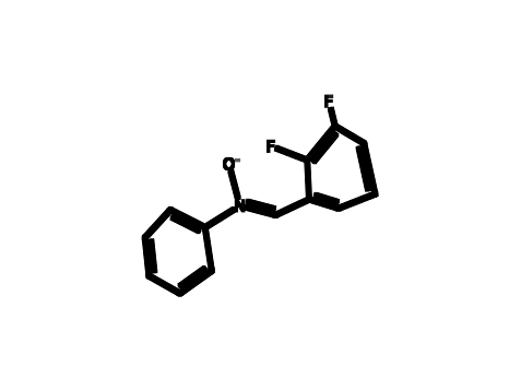 [O-][N+](=Cc1cccc(F)c1F)c1ccccc1